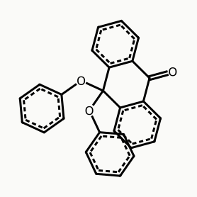 O=C1c2ccccc2C(Oc2ccccc2)(Oc2ccccc2)c2ccccc21